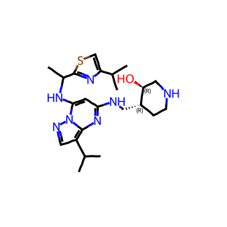 CC(C)c1csc(C(C)Nc2cc(NC[C@H]3CCNC[C@@H]3O)nc3c(C(C)C)cnn23)n1